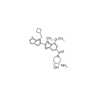 COc1cc(C(=O)N2CC[C@@H](O)[C@@H](N)C2)cc2nc(-c3cc4ccsc4n3CC3CCC3)n(C)c12